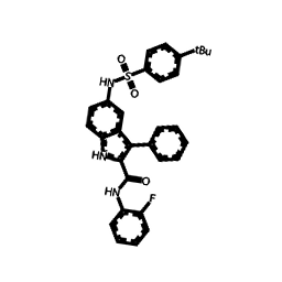 CC(C)(C)c1ccc(S(=O)(=O)Nc2ccc3[nH]c(C(=O)Nc4ccccc4F)c(-c4ccccc4)c3c2)cc1